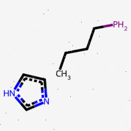 CCCCP.c1c[nH]cn1